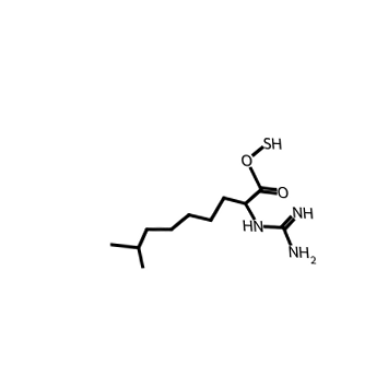 CC(C)CCCCCC(NC(=N)N)C(=O)OS